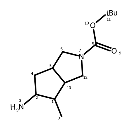 CC1C(N)CC2CN(C(=O)OC(C)(C)C)CC21